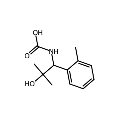 Cc1ccccc1C(NC(=O)O)C(C)(C)O